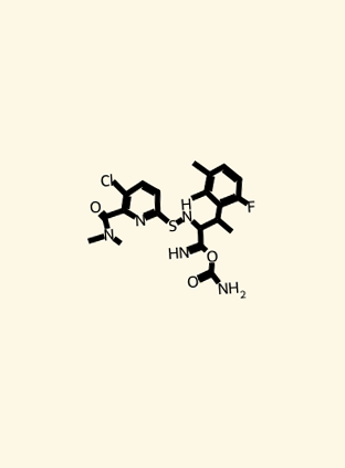 Cc1ccc(F)c(C(C)C(NSc2ccc(Cl)c(C(=O)N(C)C)n2)C(=N)OC(N)=O)c1C